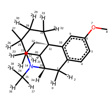 [2H]C1([2H])c2ccc(OC)cc2[C@@]23CCN(C([2H])([2H])[2H])[C@@H]1[C@@]2([2H])C([2H])([2H])C([2H])(C)C([2H])([2H])C3([2H])[2H]